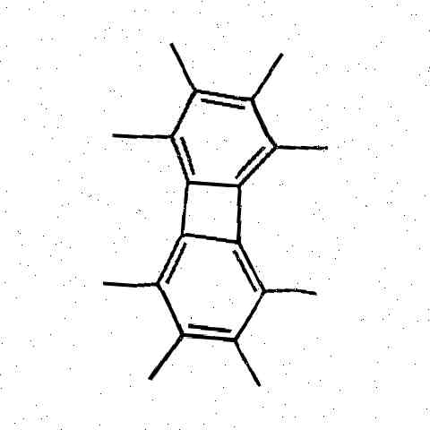 Cc1c(C)c(C)c2c(c1C)-c1c(C)c(C)c(C)c(C)c1-2